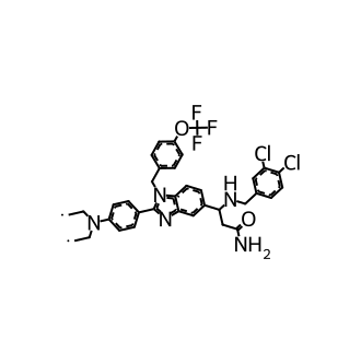 [CH2]CN(C[CH2])c1ccc(-c2nc3cc(C(CC(N)=O)NCc4ccc(Cl)c(Cl)c4)ccc3n2Cc2ccc(OC(F)(F)F)cc2)cc1